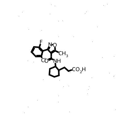 Cc1onc(-c2c(F)cccc2Cl)c1C(=O)NC1CCCCC1CCC(=O)O